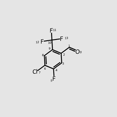 O=Cc1cc(F)c(Cl)cc1C(F)(F)F